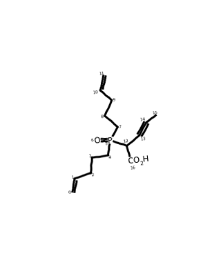 C=CCCCP(=O)(CCCC=C)C(C#CC)C(=O)O